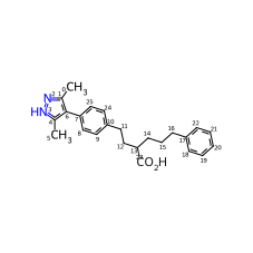 Cc1n[nH]c(C)c1-c1ccc(CCC(CCCc2ccccc2)C(=O)O)cc1